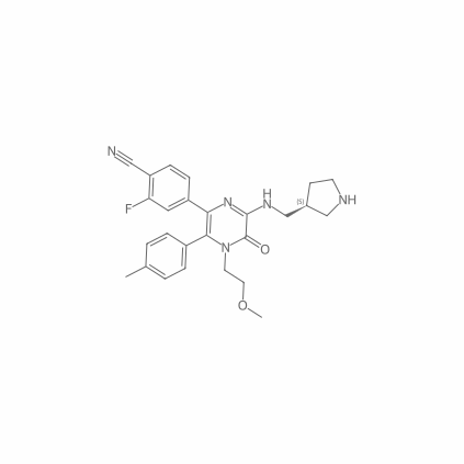 COCCn1c(-c2ccc(C)cc2)c(-c2ccc(C#N)c(F)c2)nc(NC[C@H]2CCNC2)c1=O